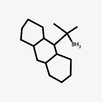 BC(C)(C)C1C2CCCCC2CC2CCCCC21